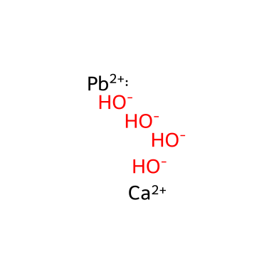 [Ca+2].[OH-].[OH-].[OH-].[OH-].[Pb+2]